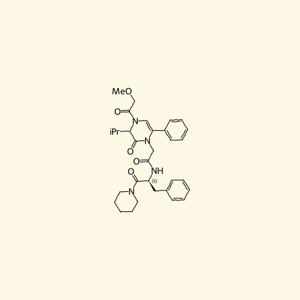 COCC(=O)N1C=C(c2ccccc2)N(CC(=O)N[C@@H](Cc2ccccc2)C(=O)N2CCCCC2)C(=O)C1C(C)C